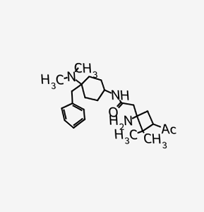 CC(=O)C1CC(N)(CC(=O)NC2CCC(Cc3ccccc3)(N(C)C)CC2)C1(C)C